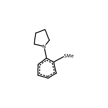 CSc1ccccc1N1CCCC1